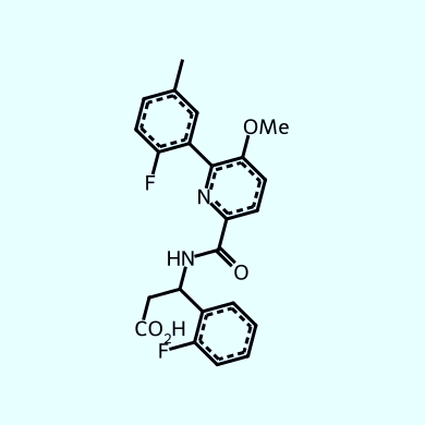 COc1ccc(C(=O)NC(CC(=O)O)c2ccccc2F)nc1-c1cc(C)ccc1F